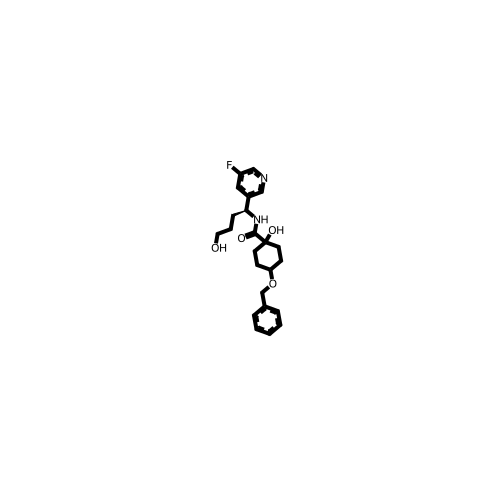 O=C(N[C@@H](CCCO)c1cncc(F)c1)C1(O)CCC(OCc2ccccc2)CC1